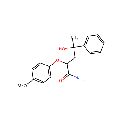 COc1ccc(OC(CC(C)(O)c2ccccc2)C(N)=O)cc1